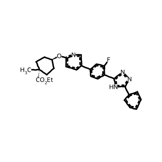 CCOC(=O)[C@]1(C)CC[C@@H](Oc2ccc(-c3ccc(-c4nnc(-c5ccccc5)[nH]4)c(F)c3)cn2)CC1